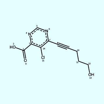 O=C(O)c1ncnc(C#CCCCO)c1Cl